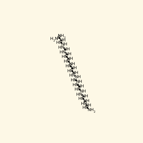 NNNNNNNNNNNNNNNNNNNNNNNNNNNNNNNN(N)N